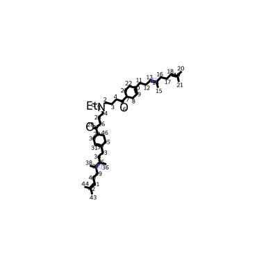 CCN(CCCC(=O)C1CC=C(CC/C=C(\C)CCC=C(C)C)CC1)CCCC(=O)C1CC=C(CC/C(C)=C(\C)CCC=C(C)C)CC1